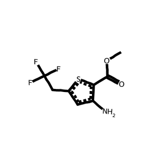 COC(=O)c1sc(CC(F)(F)F)cc1N